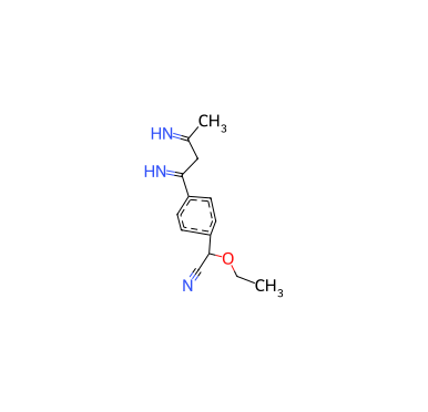 CCOC(C#N)c1ccc(C(=N)CC(C)=N)cc1